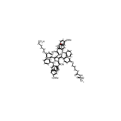 COc1ccc2sc(/C(C#N)=c3/c4c(-c5ccc(OCCCCC(=O)NS(=O)(=O)C(F)(F)F)cc5)n(B(c5ccccc5)c5ccccc5)/c(=C(/C#N)c5nc6cc(OC)ccc6s5)c4c(-c4ccc(OCCCCC(=O)O)cc4)n3B(c3ccccc3)c3ccccc3)nc2c1